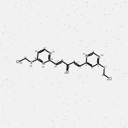 O=C(/C=C/c1cc(SCCl)ncn1)/C=C/c1nccc(SCCl)n1